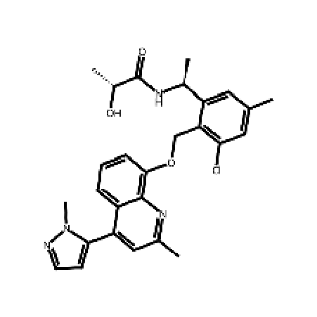 Cc1cc(Cl)c(COc2cccc3c(-c4ccnn4C)cc(C)nc23)c([C@H](C)NC(=O)[C@@H](C)O)c1